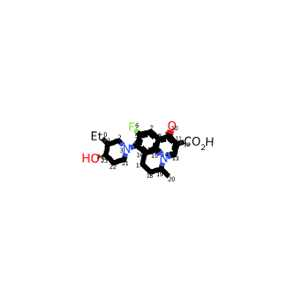 CCC1CN(c2c(F)cc3c(=O)c(C(=O)O)cn4c3c2CCC4C)CC[C@@H]1O